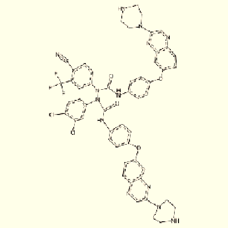 N#Cc1ccc(N(C(=O)Nc2ccc(Oc3ccc4ncc(N5CCNCC5)nc4c3)cc2)N(C(=O)Nc2ccc(Oc3ccc4ncc(N5CCNCC5)nc4c3)cc2)c2ccc(Cl)c(Cl)c2)cc1C(F)(F)F